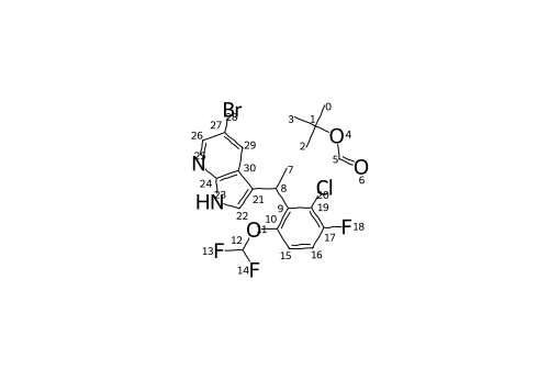 CC(C)(C)OC=O.CC(c1c(OC(F)F)ccc(F)c1Cl)c1c[nH]c2ncc(Br)cc12